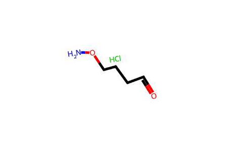 Cl.NOCCCC=O